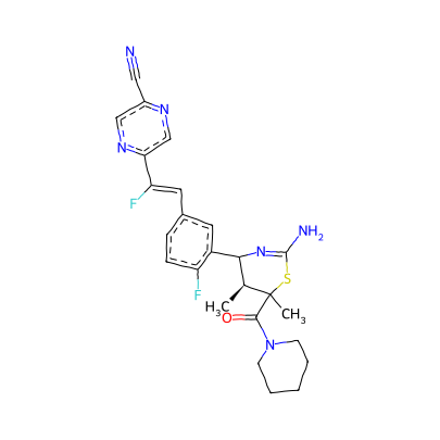 C[C@H]1C(c2cc(/C=C(\F)c3cnc(C#N)cn3)ccc2F)N=C(N)SC1(C)C(=O)N1CCCCC1